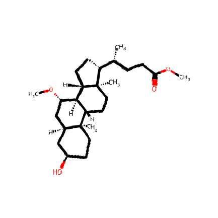 COC(=O)CC[C@@H](C)[C@H]1CC[C@H]2[C@@H]3[C@@H](OC)C[C@@H]4C[C@H](O)CC[C@]4(C)[C@H]3CC[C@]12C